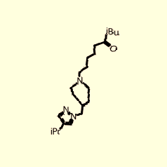 CCC(C)C(=O)CCCCCN1CCC(Cn2cc(C(C)C)cn2)CC1